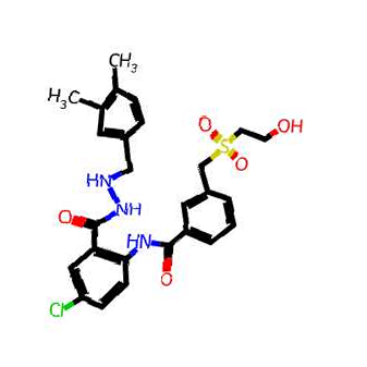 Cc1ccc(CNNC(=O)c2cc(Cl)ccc2NC(=O)c2cccc(CS(=O)(=O)CCO)c2)cc1C